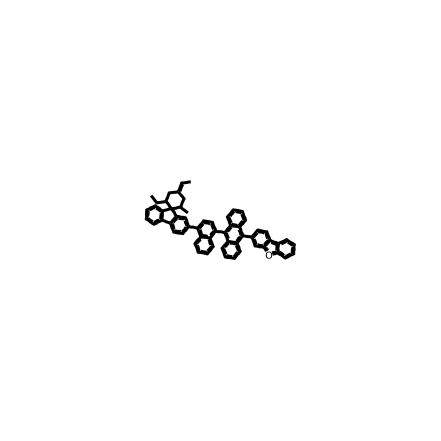 CC=C1CC(C)C2(c3ccccc3-c3ccc(-c4ccc(-c5c6ccccc6c(-c6ccc7c(c6)oc6ccccc67)c6ccccc56)c5ccccc45)cc32)C(CC)C1